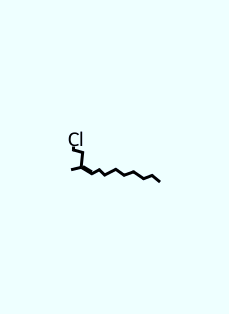 CCCCCCCC/C=C(/C)CCCl